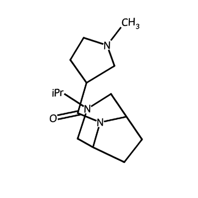 CC(C)N1CC2CCC(C1)N2C(=O)C1CCN(C)C1